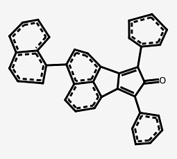 O=C1C(c2ccccc2)=C2C(=C1c1ccccc1)c1ccc(-c3cccc4ccccc34)c3cccc2c13